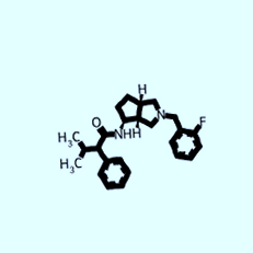 CC(C)C(C(=O)N[C@H]1CC[C@@H]2CN(Cc3ccccc3F)C[C@@H]21)c1ccccc1